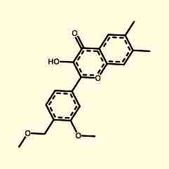 COCc1ccc(-c2oc3cc(C)c(C)cc3c(=O)c2O)cc1OC